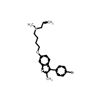 C=CCN(C)CCCCOc1ccc2c(-c3ccc(Br)cc3)c(C)sc2c1